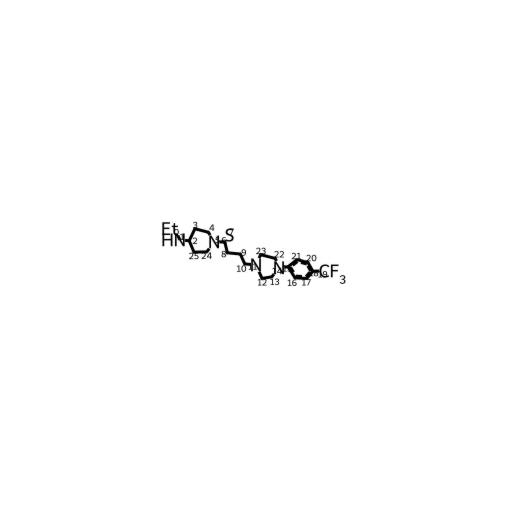 CCNC1CCN(C(=S)CCCN2CCN(c3ccc(C(F)(F)F)cc3)CC2)CC1